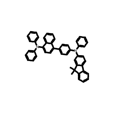 CC1(C)c2ccccc2-c2ccc(N(c3ccccc3)c3ccc(-c4ccc(N(c5ccccc5)c5ccccc5)c5ccccc45)cc3)cc21